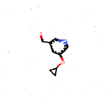 O=Cc1cncc(OC2CC2)c1